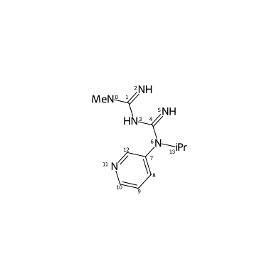 CNC(=N)NC(=N)N(c1cccnc1)C(C)C